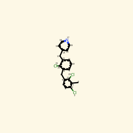 Cc1c(Cl)ccc(Cc2cccc(Cc3ccncc3)c2Cl)c1Cl